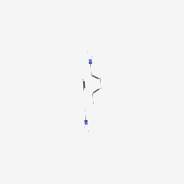 N#CCCc1c(F)c(F)c(C#N)c(F)c1F